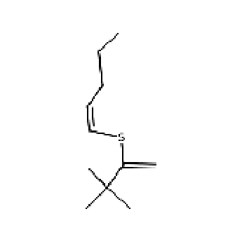 C=C(S/C=C\CCC)C(C)(C)C